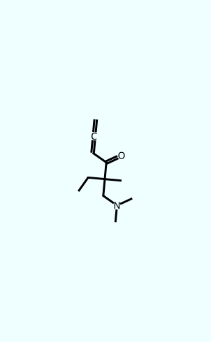 C=C=CC(=O)C(C)(CC)CN(C)C